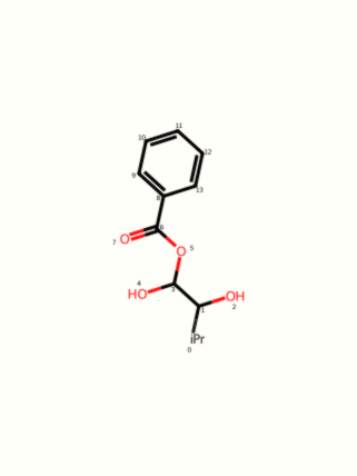 CC(C)C(O)C(O)OC(=O)c1ccccc1